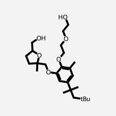 Cc1cc(C(C)(C)CC(C)(C)C)cc(OCC2(C)CCC(CO)O2)c1OCCOCCO